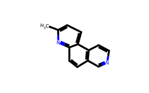 Cc1ccc2c(ccc3cnccc32)n1